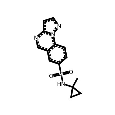 CC1(NS(=O)(=O)c2ccc3c(cnc4ccnn43)c2)CC1